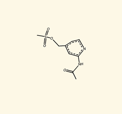 CC(=O)Nc1cc(COS(C)(=O)=O)ccn1